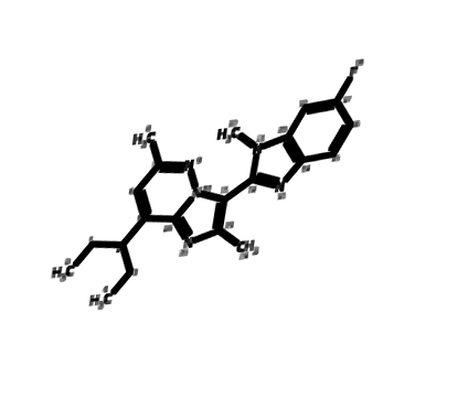 CCC(CC)c1cc(C)nn2c(-c3nc4ccc(F)cc4n3C)c(C)nc12